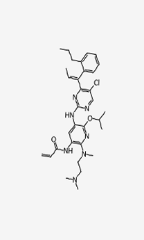 C=CC(=O)Nc1cc(Nc2ncc(Cl)c(/C(=C/C)c3ccccc3CCC)n2)c(OC(C)C)nc1N(C)CCN(C)C